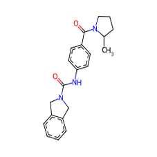 CC1CCCN1C(=O)c1ccc(NC(=O)N2Cc3ccccc3C2)cc1